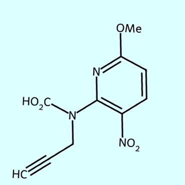 C#CCN(C(=O)O)c1nc(OC)ccc1[N+](=O)[O-]